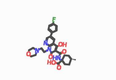 C[C@H]1CC[C@](NC(=O)c2c(O)c3cc(-c4ccc(F)cc4)cnc3n(CCN3CCOCC3)c2=O)(C(=O)O)CC1